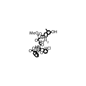 COCC[C@H](NC(=O)[C@@H](N)Cc1c(C)cc(O)cc1C)C(=O)NCC(=O)N[C@@H](Cc1ccccc1)C(=O)NC12CC3CC(C1)CC(C(=O)OC)(C3)C2.Cl